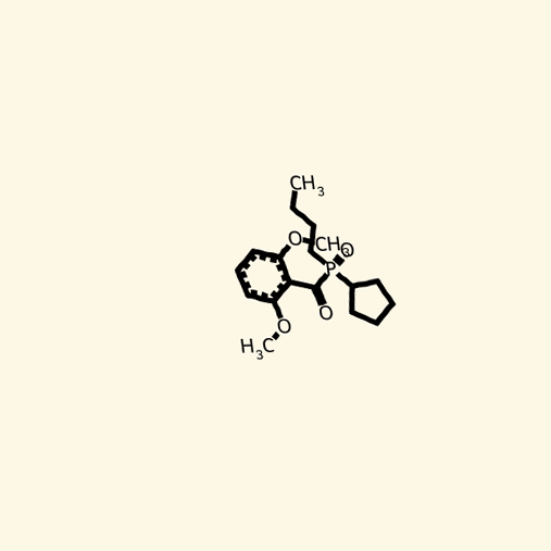 CCCCP(=O)(C(=O)c1c(OC)cccc1OC)C1CCCC1